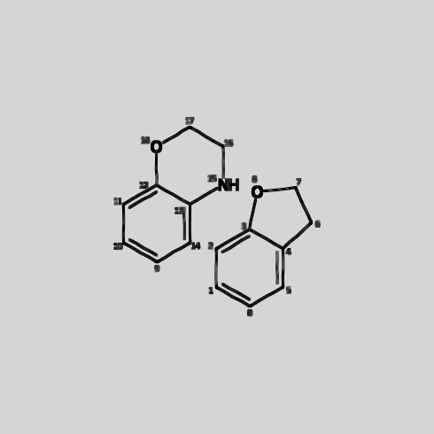 c1ccc2c(c1)CCO2.c1ccc2c(c1)NCCO2